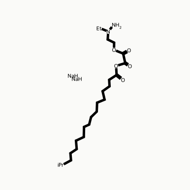 CCN(N)CCOC(=O)C(=O)OC(=O)CCCCCCCCCCCCCCC(C)C.[NaH].[NaH]